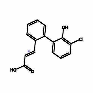 O=C(O)/C=C/c1ccccc1-c1cccc(Cl)c1O